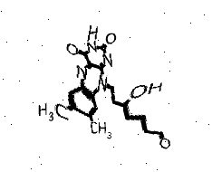 Cc1cc2nc3c(=O)[nH]c(=O)nc-3n(CCC(O)CCCC=O)c2cc1C